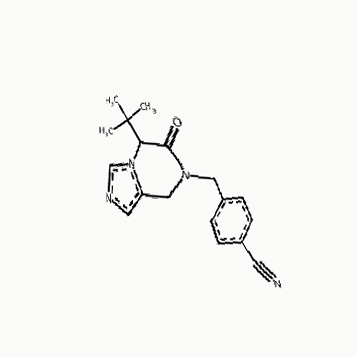 CC(C)(C)C1C(=O)N(Cc2ccc(C#N)cc2)Cc2cncn21